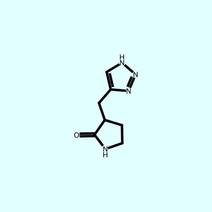 O=C1NCCC1Cc1c[nH]nn1